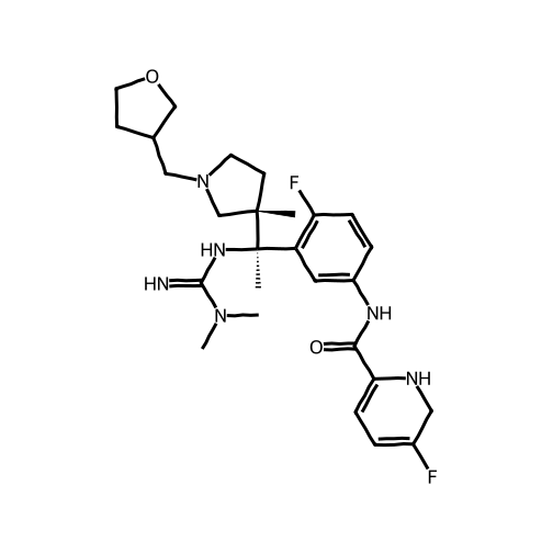 CN(C)C(=N)N[C@](C)(c1cc(NC(=O)C2=CC=C(F)CN2)ccc1F)[C@@]1(C)CCN(CC2CCOC2)C1